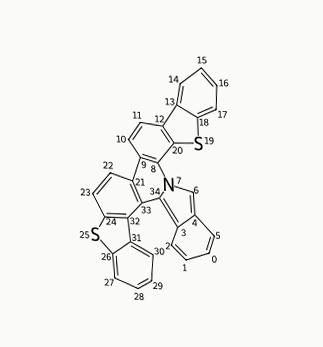 c1ccc2c(c1)cn1c3c(ccc4c5ccccc5sc43)c3ccc4sc5ccccc5c4c3c21